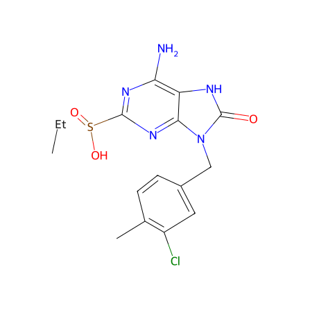 CCC.Cc1ccc(Cn2c(=O)[nH]c3c(N)nc(S(=O)O)nc32)cc1Cl